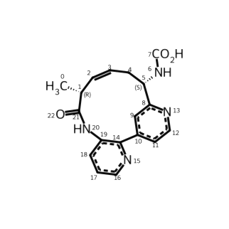 C[C@@H]1C=CC[C@H](NC(=O)O)c2cc(ccn2)-c2ncccc2NC1=O